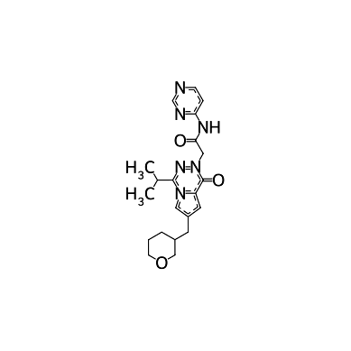 CC(C)c1nn(CC(=O)Nc2ccncn2)c(=O)c2cc(CC3CCCOC3)cn12